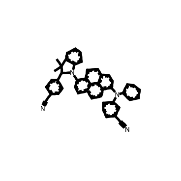 CC1(C)c2ccccc2N(c2ccc3ccc4c(N(c5ccccc5)c5cccc(C#N)c5)ccc5ccc2c3c54)C1c1ccc(C#N)cc1